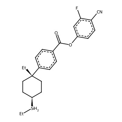 CC[SiH2][C@H]1CC[C@](CC)(c2ccc(C(=O)Oc3ccc(C#N)c(F)c3)cc2)CC1